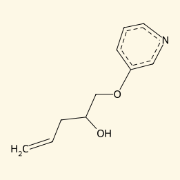 C=CCC(O)COc1cccnc1